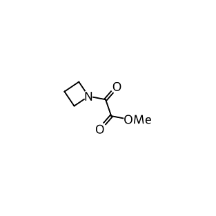 COC(=O)C(=O)N1CCC1